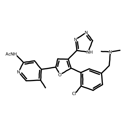 CC(=O)Nc1cc(-c2cc(-c3nnc[nH]3)c(-c3cc(CN(C)C)ccc3Cl)o2)c(C)cn1